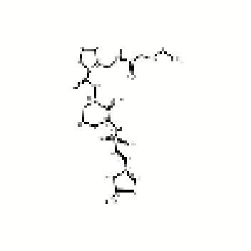 CCOCC(=O)NC[C@@H]1CCCN1C(=O)CN1CCC[C@H](NS(=O)(=O)/C=C/c2ccc(Cl)s2)C1=O